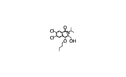 CCCCOc1c(CO)n(C(C)C)c(=O)c2cc(Cl)c(Cl)cc12